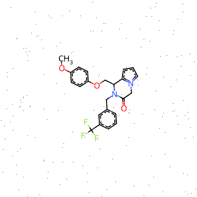 COc1ccc(OCC2c3cccn3CC(=O)N2Cc2cccc(C(F)(F)F)c2)cc1